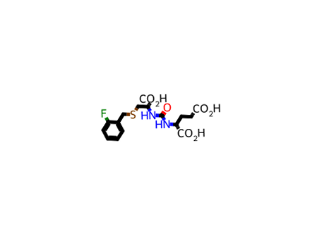 O=C(O)CCC(NC(=O)NC(CSCc1ccccc1F)C(=O)O)C(=O)O